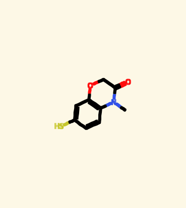 CN1C(=O)COc2cc(S)ccc21